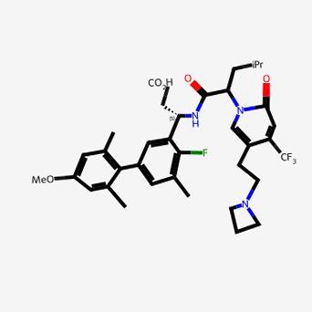 COc1cc(C)c(-c2cc(C)c(F)c([C@H](CC(=O)O)NC(=O)C(CC(C)C)n3cc(CCN4CCC4)c(C(F)(F)F)cc3=O)c2)c(C)c1